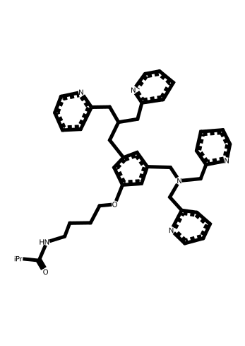 CC(C)C(=O)NCCCCOc1cc(CC(Cc2ccccn2)Cc2ccccn2)cc(CN(Cc2ccccn2)Cc2ccccn2)c1